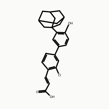 O=C(O)/C=C/c1ccc(-c2ccc(O)c(C34CC5CC(CC(C5)C3)C4)c2)cc1Cl